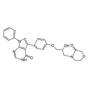 O=C1COCCN1CC(O)COc1ccc(-c2cn(-c3ccccc3)c3nc[nH]c(=O)c23)cc1